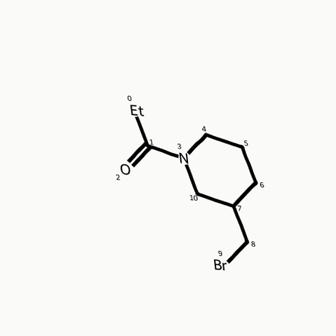 CCC(=O)N1CCCC(CBr)C1